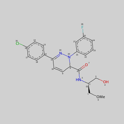 COC[C@H](CO)NC(=O)C1C=CC(c2ccc(Cl)cc2)=NN1c1cccc(F)c1